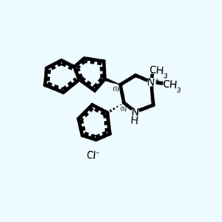 C[N+]1(C)CN[C@H](c2ccccc2)[C@@H](c2ccc3ccccc3c2)C1.[Cl-]